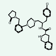 O=C(N[C@H](Cc1ccc(Cl)cc1)CN1CCN(c2ccccc2CN2CCCC2=O)CC1)[C@H]1Cc2ccccc2CN1